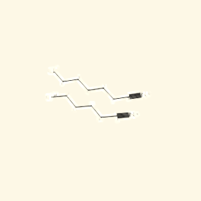 N#CCCCCCCl.N#CCCCCCl